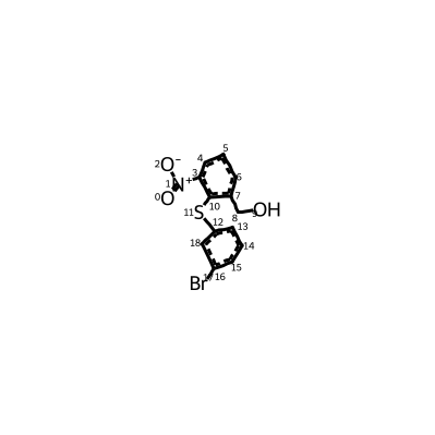 O=[N+]([O-])c1cccc(CO)c1Sc1cccc(Br)c1